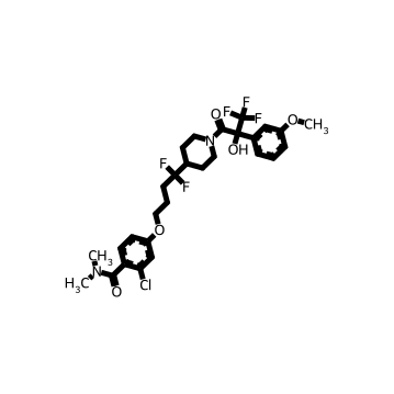 COc1cccc(C(O)(C(=O)N2CCC(C(F)(F)CCCOc3ccc(C(=O)N(C)C)c(Cl)c3)CC2)C(F)(F)F)c1